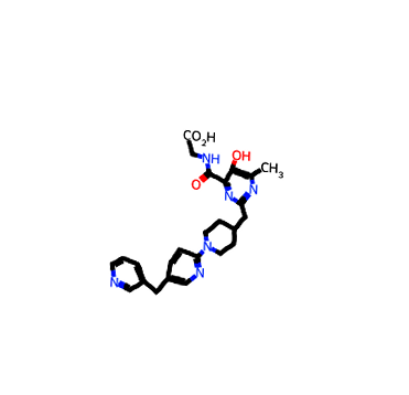 Cc1nc(CC2CCN(c3ccc(Cc4cccnc4)cn3)CC2)nc(C(=O)NCC(=O)O)c1O